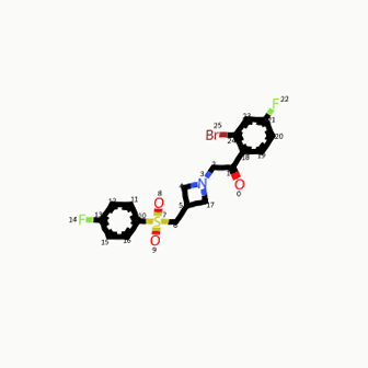 O=C(CN1CC(CS(=O)(=O)c2ccc(F)cc2)C1)c1ccc(F)cc1Br